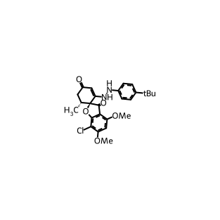 COc1cc(OC)c2c(c1Cl)O[C@]1(C2=O)C(NNc2ccc(C(C)(C)C)cc2)=CC(=O)C[C@H]1C